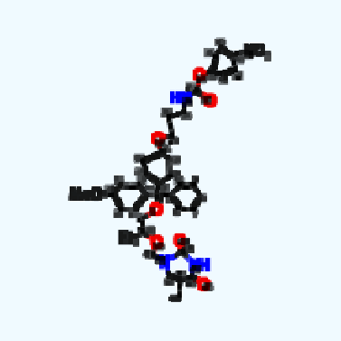 CC[C@@H](COC(c1ccccc1)(c1ccc(OC)cc1)c1ccc(OCCCNC(=O)Oc2ccc([N+](=O)[O-])cc2)cc1)OCn1cc(C)c(=O)[nH]c1=O